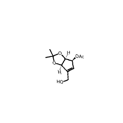 CC(=O)O[C@H]1C=C(CO)[C@H]2OC(C)(C)O[C@@H]12